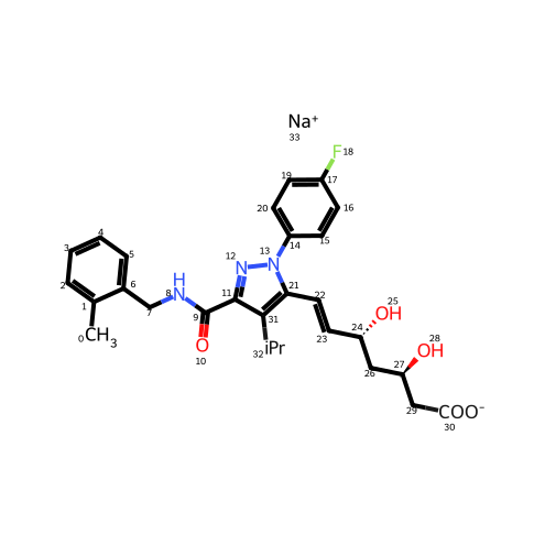 Cc1ccccc1CNC(=O)c1nn(-c2ccc(F)cc2)c(C=C[C@H](O)C[C@@H](O)CC(=O)[O-])c1C(C)C.[Na+]